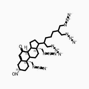 [N-]=[N+]=NCC(CCCC(CN=[N+]=[N-])C1CCC2[C@@H]3C(=O)C=C4C[C@@H](N=O)CC[C@]4(CN=[N+]=[N-])C3CC[C@]12CN=[N+]=[N-])CN=[N+]=[N-]